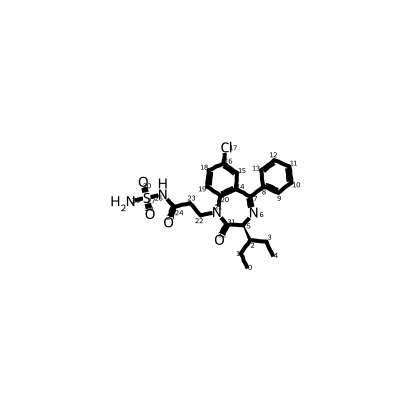 CCC(CC)[C@@H]1N=C(c2ccccc2)c2cc(Cl)ccc2N(CCC(=O)NS(N)(=O)=O)C1=O